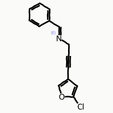 Clc1cc(C#CC/N=C/c2ccccc2)co1